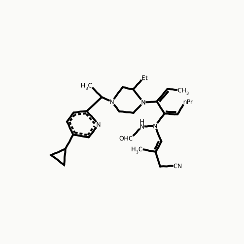 C/C=C(\C(=C/CCC)N(/C=C(\C)CC#N)NC=O)N1CCN(C(C)c2ccc(C3CC3)cn2)CC1CC